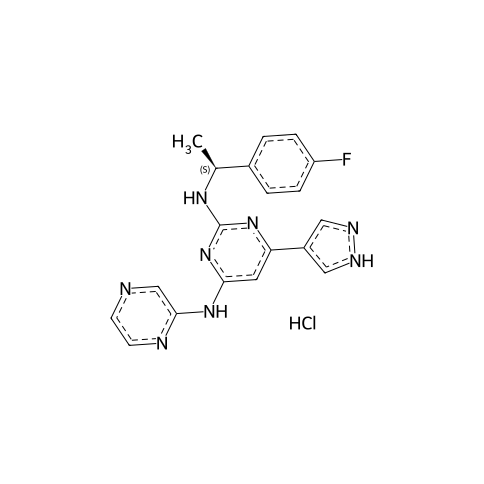 C[C@H](Nc1nc(Nc2cnccn2)cc(-c2cn[nH]c2)n1)c1ccc(F)cc1.Cl